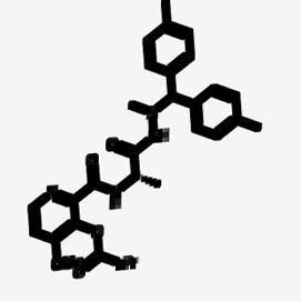 CCCC(=O)Oc1c(OC)ccnc1C(=O)N[C@@H](C)C(=O)NN(C)C(c1ccc(C)cc1)c1ccc(C)cc1